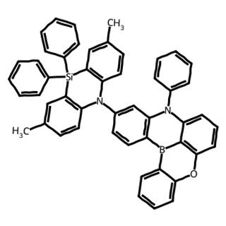 Cc1ccc2c(c1)[Si](c1ccccc1)(c1ccccc1)c1cc(C)ccc1N2c1ccc2c(c1)N(c1ccccc1)c1cccc3c1B2c1ccccc1O3